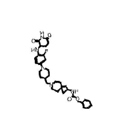 O=C1CCC(Nc2ccc(N3CCC(CN4CCC5(CC4)CC(NC(=O)OCc4ccccc4)C5)CC3)cc2F)C(=O)N1